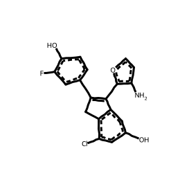 Nc1ccoc1C1=C(c2ccc(O)c(F)c2)Cc2c(Cl)cc(O)cc21